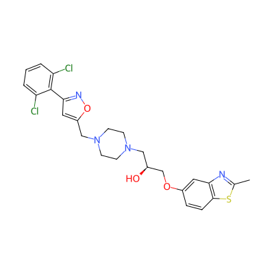 Cc1nc2cc(OC[C@@H](O)CN3CCN(Cc4cc(-c5c(Cl)cccc5Cl)no4)CC3)ccc2s1